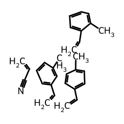 C=CC#N.C=Cc1ccc(C)cc1.C=Cc1cccc(C)c1.C=Cc1ccccc1C